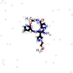 COCCn1cc(-c2c3nc4c(cnn4c2N)C(=O)NC[C@H](C)Oc2ncc(F)cc2CN3)cn1